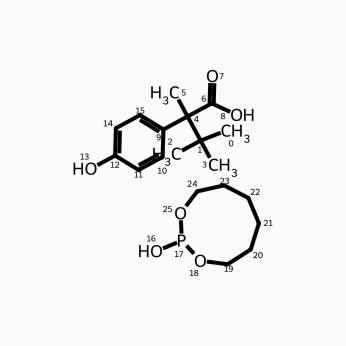 CC(C)(C)C(C)(C(=O)O)c1ccc(O)cc1.OP1OCCCCCCO1